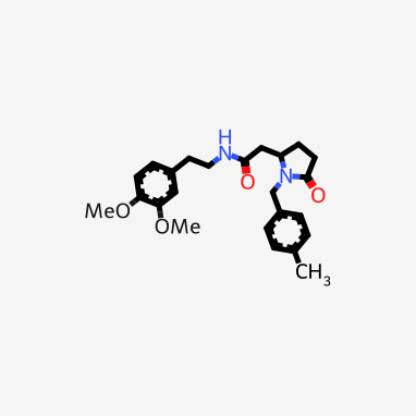 COc1ccc(CCNC(=O)CC2CCC(=O)N2Cc2ccc(C)cc2)cc1OC